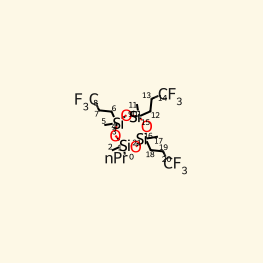 CCC[Si]1(C)O[Si](C)(CCC(F)(F)F)O[Si](C)(CCC(F)(F)F)O[Si](C)(CCC(F)(F)F)O1